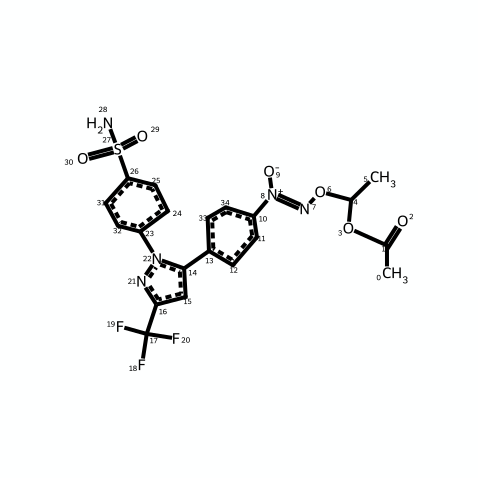 CC(=O)OC(C)O/N=[N+](\[O-])c1ccc(-c2cc(C(F)(F)F)nn2-c2ccc(S(N)(=O)=O)cc2)cc1